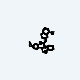 COc1ccc(C2COc3ccccc3N2C(=O)CN2CCc3cccc(OC)c3C2)cc1